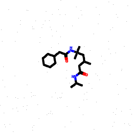 CC(CC(=O)NC(C)C)CC(C)(C)NC(=O)CC1CCCCC1